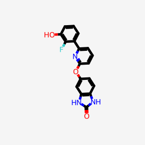 O=c1[nH]c2ccc(Oc3cccc(-c4cccc(O)c4F)n3)cc2[nH]1